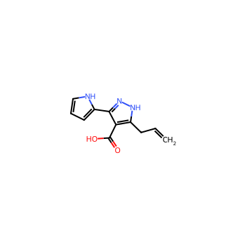 C=CCc1[nH]nc(-c2ccc[nH]2)c1C(=O)O